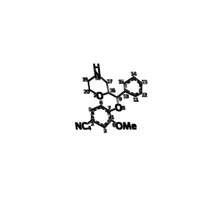 COc1cc(C#N)ccc1OC(c1ccccc1)C1CNCCO1